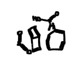 O=S=O.O=[PH](O)c1ccccc1.c1cc2ccc1-2